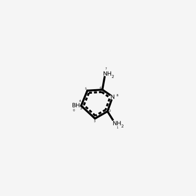 B.Nc1cccc(N)n1